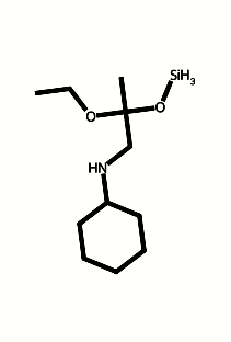 CCOC(C)(CNC1CCCCC1)O[SiH3]